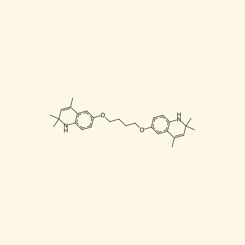 CC1=CC(C)(C)Nc2ccc(OCCCCOc3ccc4c(c3)C(C)=CC(C)(C)N4)cc21